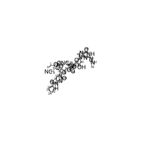 C=CCOP(=O)(OCCC#N)O[C@H]1C[C@H](n2ccc(NC(=O)c3ccccc3)nc2=O)O[C@@H]1COP(=O)(O)OC(CCC#N)[C@H]1O[C@@H](n2cnc3c(=O)[nH]c(N=CN(C)C)nc32)C[C@@H]1O